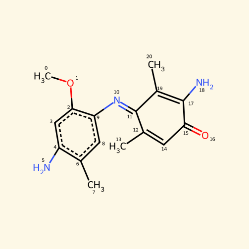 COc1cc(N)c(C)cc1N=C1C(C)=CC(=O)C(N)=C1C